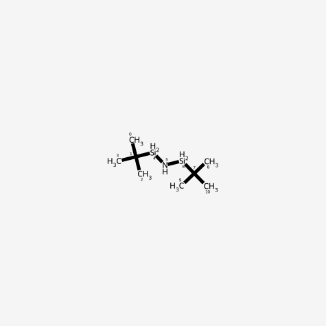 CC(C)(C)[SiH2]N[SiH2]C(C)(C)C